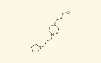 ClCCCN1CCN(CCCN2CCCC2)CC1